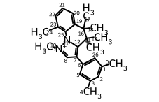 Cc1cc(C)cc(-c2c[n+](C)n3c2C(C)(C)C(C)(C)c2cccc(C)c2-3)c1